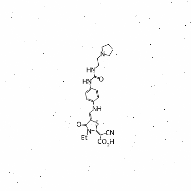 CCn1c(=C(C#N)C(=O)O)sc(=CNc2ccc(NC(=O)NCCN3CCCC3)cc2)c1=O